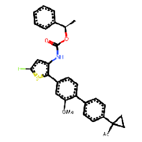 COc1cc(-c2sc(F)cc2NC(=O)O[C@H](C)c2ccccc2)ccc1-c1ccc(C2(C(C)=O)CC2)cc1